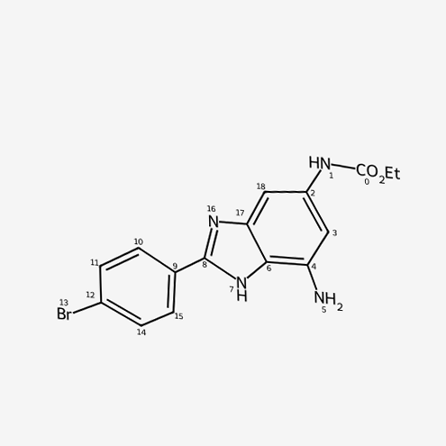 CCOC(=O)Nc1cc(N)c2[nH]c(-c3ccc(Br)cc3)nc2c1